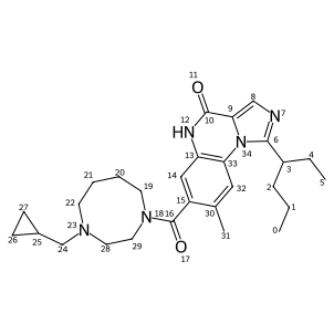 CCCC(CC)c1ncc2c(=O)[nH]c3cc(C(=O)N4CCCCN(CC5CC5)CC4)c(C)cc3n12